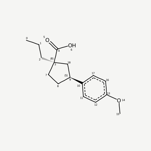 CCC[C@@]1(C(=O)O)CC[C@H](c2ccc(OC)cc2)C1